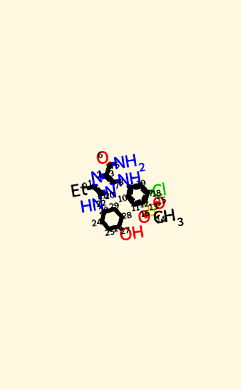 CCc1nc(C(N)=O)c(Nc2ccc(S(C)(=O)=O)c(Cl)c2)nc1NC1CCC(O)CC1